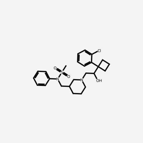 CS(=O)(=O)N(CC1CCCN(CC(O)C2(c3ccccc3Cl)CCC2)C1)c1ccccc1